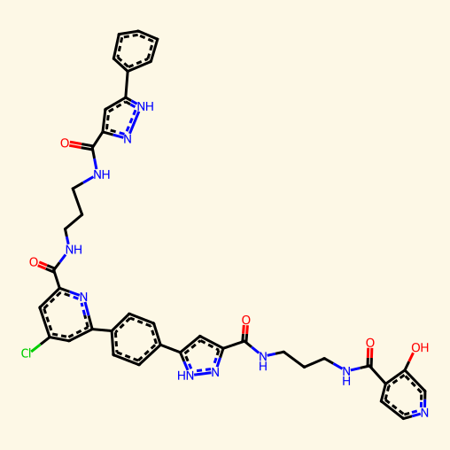 O=C(NCCCNC(=O)c1cc(Cl)cc(-c2ccc(-c3cc(C(=O)NCCCNC(=O)c4ccncc4O)n[nH]3)cc2)n1)c1cc(-c2ccccc2)[nH]n1